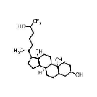 C[C@H](CCCC(O)C(F)(F)F)C1CCC2[C@@H]3CCC4CC(O)CC[C@]4(C)C3CCC21C